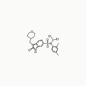 CCC(CC)N(c1ccc(C)cc1C)S(=O)(=O)c1ccc2c(c1)[nH]c(=O)n2CC1CCOCC1